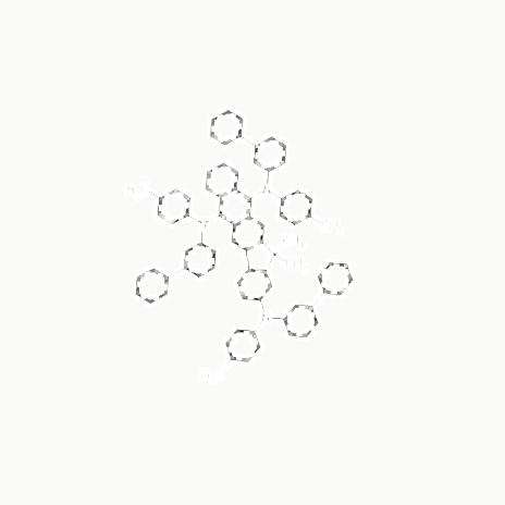 Cc1ccc(N(c2cccc(-c3ccccc3)c2)c2ccc3c(c2)C(C)(C)c2cc4c(N(c5ccc(C)cc5)c5cccc(-c6ccccc6)c5)c5ccccc5c(N(c5ccc(C)cc5)c5cccc(-c6ccccc6)c5)c4cc2-3)cc1